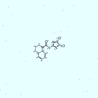 O=C(Sc1nc(Cl)c(Cl)s1)N1CCCC2C=CC=CC21